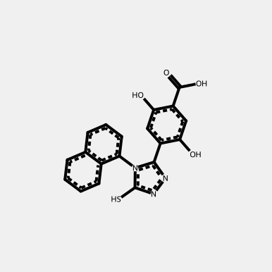 O=C(O)c1cc(O)c(-c2nnc(S)n2-c2cccc3ccccc23)cc1O